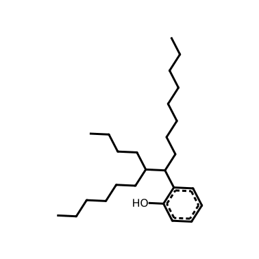 CCCCCCCCC(c1ccccc1O)C(CCCC)CCCCCC